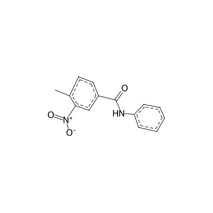 Cc1ccc(C(=O)Nc2ccccc2)cc1[N+](=O)[O-]